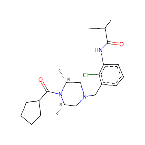 CC(C)C(=O)Nc1cccc(CN2C[C@@H](C)N(C(=O)C3CCCC3)[C@@H](C)C2)c1Cl